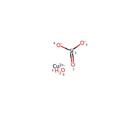 O.O=[Si]([O-])[O-].[Cu+2]